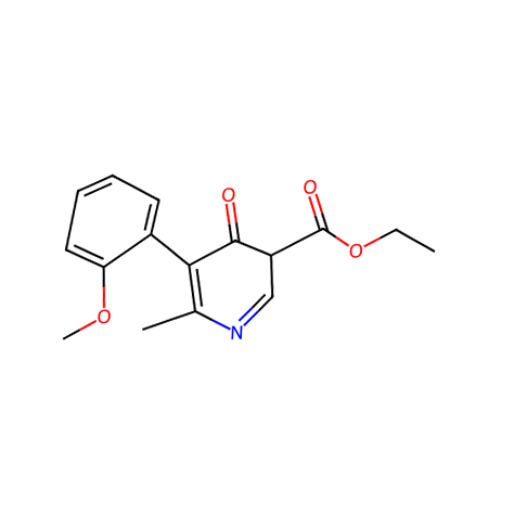 CCOC(=O)C1C=NC(C)=C(c2ccccc2OC)C1=O